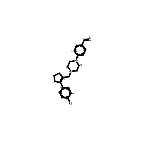 O=[C]c1ccc(N2CCN(CC3=C(c4ccc(Cl)cc4)CCC3)CC2)cc1